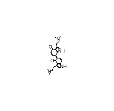 CN(C)CCc1c[nH]c2c1C(=O)C(=C1C=CC(=O)c3c(CCN(C)C)c[nH]c31)C=C2